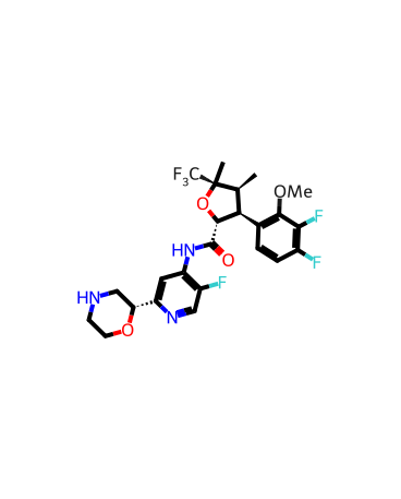 COc1c([C@H]2[C@H](C(=O)Nc3cc([C@H]4CNCCO4)ncc3F)O[C@@](C)(C(F)(F)F)[C@H]2C)ccc(F)c1F